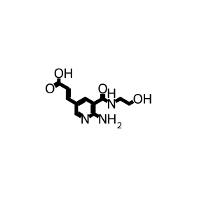 Nc1ncc(C=CC(=O)O)cc1C(=O)NCCO